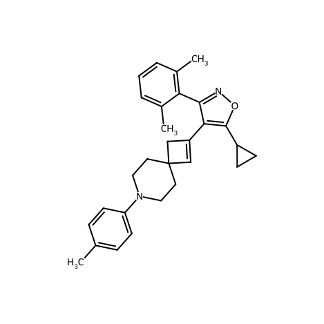 Cc1ccc(N2CCC3(C=C(c4c(-c5c(C)cccc5C)noc4C4CC4)C3)CC2)cc1